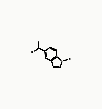 [CH2]C(O)c1ccc2c(ccn2O)c1